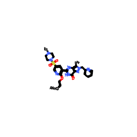 CCCc1c2nc(-c3cc(S(=O)(=O)N4CCN(CC)CC4)cnc3OCCOC)[nH]c(=O)c2nn1Cc1ccccn1